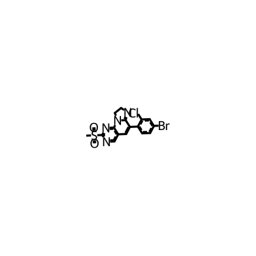 CS(=O)(=O)c1ncc2c(n1)N1CCN=C1C(c1ccc(Br)cc1Cl)=C2